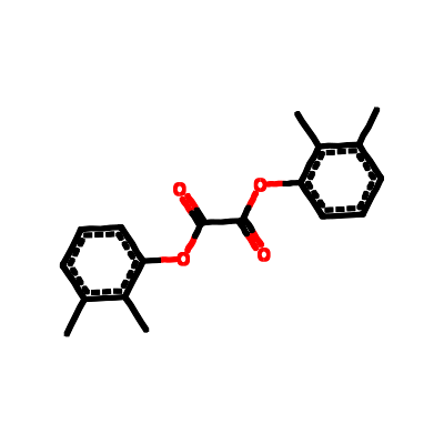 Cc1cccc(OC(=O)C(=O)Oc2cccc(C)c2C)c1C